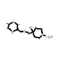 O=C(O)N1CCC(F)(COCC2COCCO2)CC1